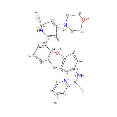 Cc1ccnc(C(C)Nc2ccc3c(c2)Cc2cccc(-c4cc(N5CCOCC5)cc(=O)[nH]4)c2O3)c1